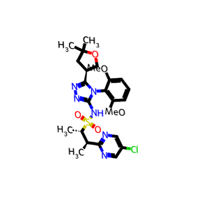 COc1cccc(OC)c1-n1c(NS(=O)(=O)[C@@H](C)[C@H](C)c2ncc(Cl)cn2)nnc1[C@@H]1COC(C)(C)C1